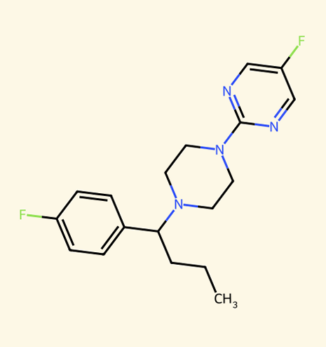 CCCC(c1ccc(F)cc1)N1CCN(c2ncc(F)cn2)CC1